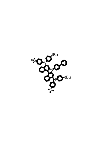 CC(C)(C)c1ccc(N(c2ccc([Si](C)(C)C)cc2)c2cc3c(c4ccccc24)c2c4ccccc4c(N(c4ccc(C(C)(C)C)cc4)c4ccc([Si](C)(C)C)cc4)cc2n3-c2ccc(-c3ccccc3)cc2)cc1